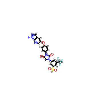 CS(=O)(=O)c1cc(N2CC(=O)N(c3ccc(Oc4cnc5[nH]ncc5c4)cc3)C2=O)cc(C(F)(F)F)c1